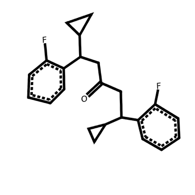 O=C(CC(c1ccccc1F)C1CC1)CC(c1ccccc1F)C1CC1